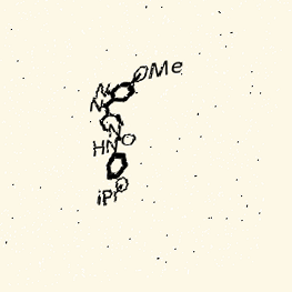 COc1ccc2c(C3CCN(C(=O)Nc4ccc(OC(C)C)cc4)CC3)ncnc2c1